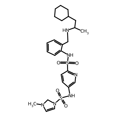 CC(CC1CCCCC1)NCc1ccccc1NS(=O)(=O)c1ccc(NS(=O)(=O)N2C=CN(C)C2)cn1